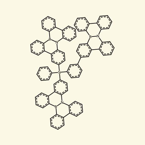 c1ccc([Si](c2cccc(-c3ccc4c(c3)-c3ccccc3N3B4c4ccccc4-c4ccccc43)c2)(c2ccc3c(c2)-c2ccccc2B2c4ccccc4-c4ccccc4N23)c2ccc3c(c2)-c2ccccc2B2c4ccccc4-c4ccccc4N23)cc1